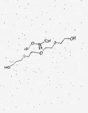 CCCCOBO.OCCOCCOCCOCCO